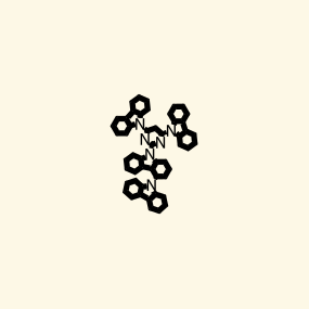 c1ccc2c(c1)c1ccccc1n2-c1cc(-n2c3ccccc3c3ccccc32)nc(-n2c3ccccc3c3c(-n4c5ccccc5c5ccccc54)cccc32)n1